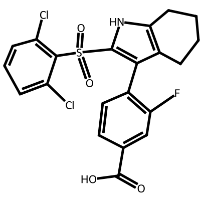 O=C(O)c1ccc(-c2c(S(=O)(=O)c3c(Cl)cccc3Cl)[nH]c3c2CCCC3)c(F)c1